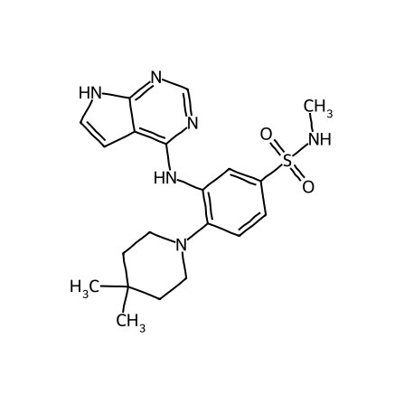 CNS(=O)(=O)c1ccc(N2CCC(C)(C)CC2)c(Nc2ncnc3[nH]ccc23)c1